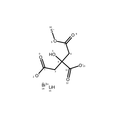 O=C([O-])CC(O)(CC(=O)O[S-])C(=O)[O-].[Bi+3].[LiH]